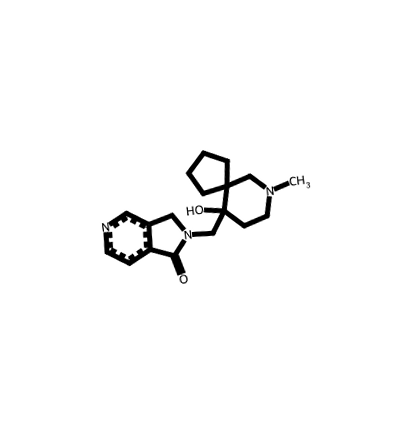 CN1CCC(O)(CN2Cc3cnccc3C2=O)C2(CCCC2)C1